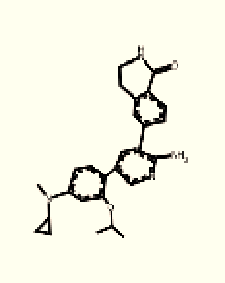 CC(C)Oc1cc(N(C)C2CC2)ccc1-c1cnc(N)c(-c2ccc3c(c2)CCNC3=O)c1